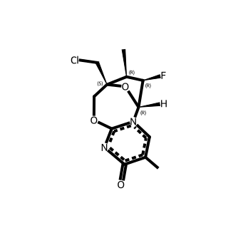 Cc1cn2c(nc1=O)OC[C@@]1(CCl)O[C@@H]2[C@H](F)[C@@H]1C